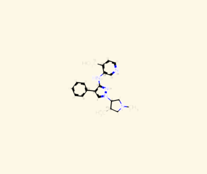 C[C@@H]1CN(C)CC1n1cc(-c2ccccc2)c(Nc2cnccc2C(=O)O)n1